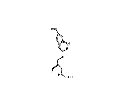 CCCCc1cn2cc(OCC(=CF)CNC(=O)O)cnc2n1